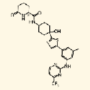 Cc1cc(Nc2nccc(C(F)(F)F)n2)cc(-c2cnc(C3(O)CCC(NC(=O)[C@@H]4CCCC(=O)N4)CC3)s2)c1